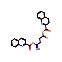 N=C(CCC(=O)OC(=O)c1ccc2ccccc2n1)OC(=O)c1ccc2ccccc2n1